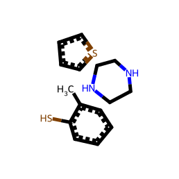 C1CNCCN1.Cc1ccccc1S.c1ccsc1